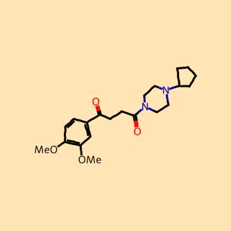 COc1ccc(C(=O)CCC(=O)N2CCN(C3CCCC3)CC2)cc1OC